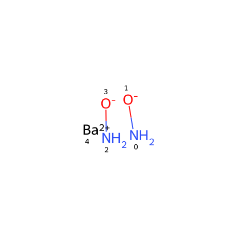 N[O-].N[O-].[Ba+2]